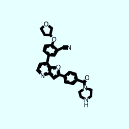 N#Cc1cc(-c2ccnc3cc(-c4ccc(C(=O)N5CCNCC5)cc4)oc23)ccc1OC1CCOC1